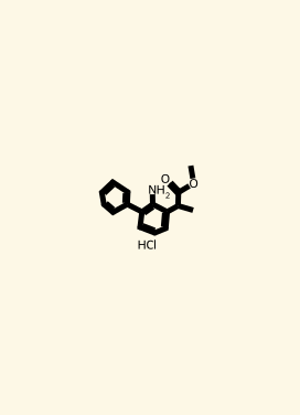 COC(=O)C(C)c1cccc(-c2ccccc2)c1N.Cl